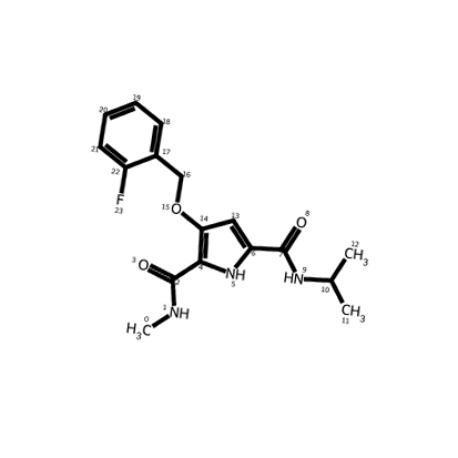 CNC(=O)c1[nH]c(C(=O)NC(C)C)cc1OCc1ccccc1F